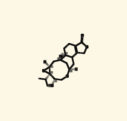 CC(C)[C@]12O[C@H]1C[C@]1(O)C[C@@H](CC3C4=C(CC[C@@]31C)C(=O)OC4)OC[C@@H]2O